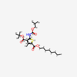 CCCCCCCCOC(=O)c1sc(NC(=O)OCC(C)C)c(C(=O)OC(C)(C)C)c1C